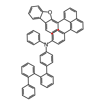 c1ccc(-c2ccccc2-c2ccccc2-c2ccc(N(c3ccccc3)c3ccc(-c4cccc5cccc(-c6cccc7c6oc6ccccc67)c45)cc3)cc2)cc1